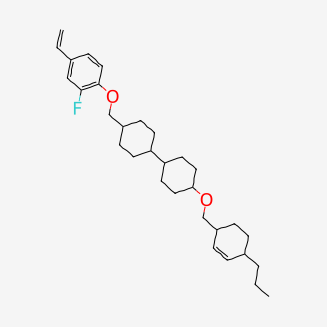 C=Cc1ccc(OCC2CCC(C3CCC(OCC4C=CC(CCC)CC4)CC3)CC2)c(F)c1